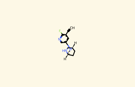 C#Cc1cc(N2C[C@@H]3CC[C@H]2CN3)cnc1F